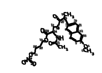 COc1ccc2cc(C(C)C(=O)SC[C@@H](NC(C)=O)C(=O)OCCCCO[N+](=O)[O-])ccc2c1